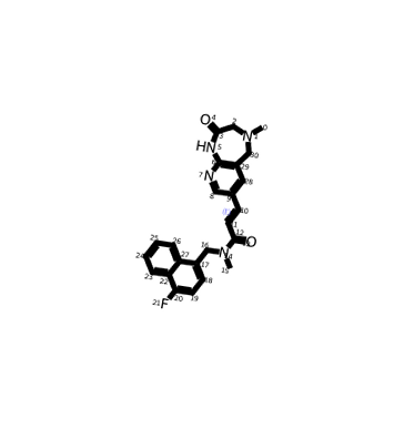 CN1CC(=O)Nc2ncc(/C=C/C(=O)N(C)Cc3ccc(F)c4ccccc34)cc2C1